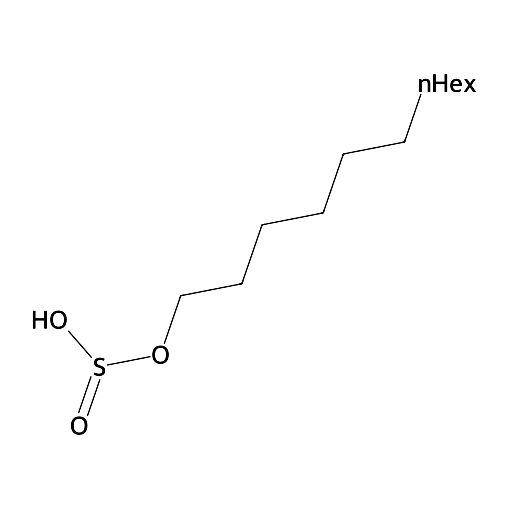 CCCCCCCCCCCCOS(=O)O